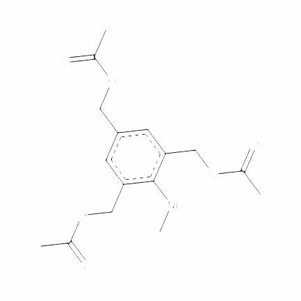 CNc1c(COC(C)=O)cc(COC(C)=O)cc1COC(C)=O